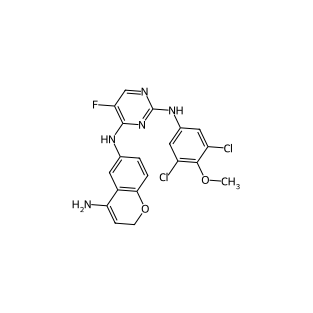 COc1c(Cl)cc(Nc2ncc(F)c(Nc3ccc4c(c3)C(N)=CCO4)n2)cc1Cl